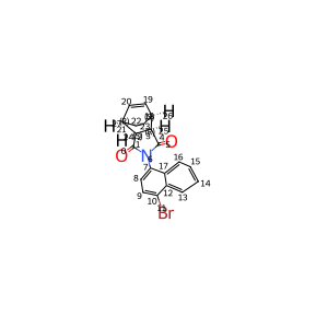 O=C1[C@@H]2[C@H](C(=O)N1c1ccc(Br)c3ccccc13)[C@@H]1C=C[C@H]2CC1